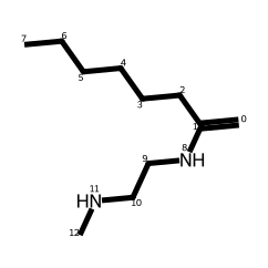 C=C(CCCCCC)NCCNC